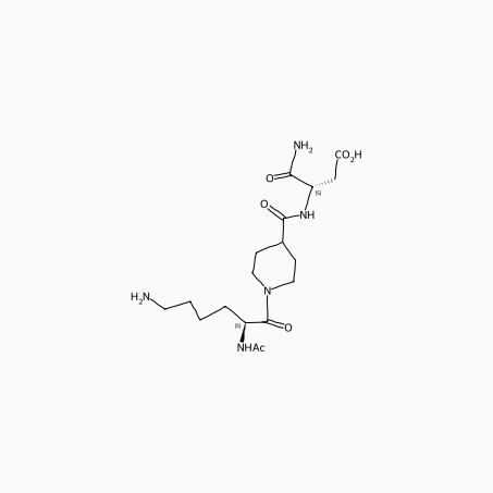 CC(=O)N[C@@H](CCCCN)C(=O)N1CCC(C(=O)N[C@@H](CC(=O)O)C(N)=O)CC1